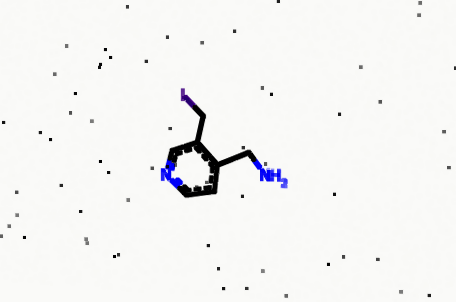 NCc1ccncc1CI